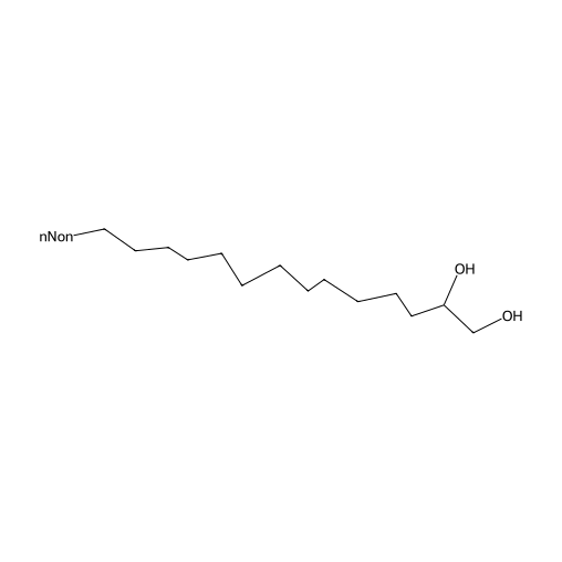 CCCCCCCCCCCCCCCCCCCCCC(O)CO